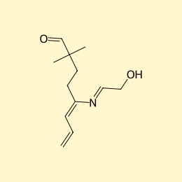 C=C/C=C(CCC(C)(C)C=O)\N=C\CO